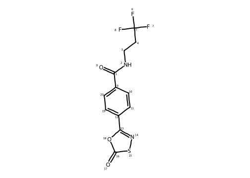 O=C(NCCC(F)(F)F)c1ccc(-c2nsc(=O)o2)cc1